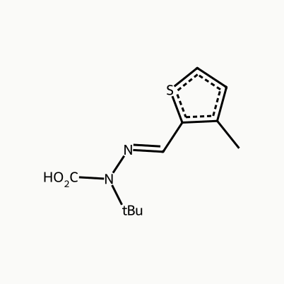 Cc1ccsc1C=NN(C(=O)O)C(C)(C)C